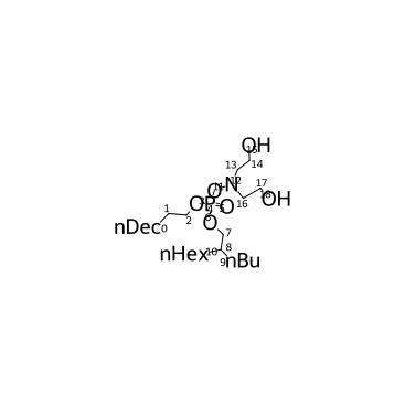 CCCCCCCCCCCCOP(=O)(OCC(CCCC)CCCCCC)ON(CCO)CCO